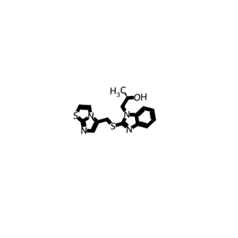 C[C@H](O)Cn1c(SCc2cnc3sccn23)nc2ccccc21